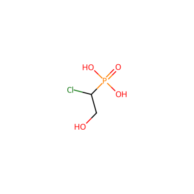 O=P(O)(O)C(Cl)CO